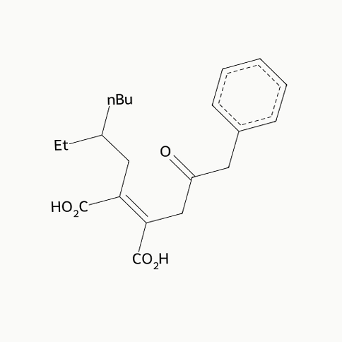 CCCCC(CC)CC(C(=O)O)=C(CC(=O)Cc1ccccc1)C(=O)O